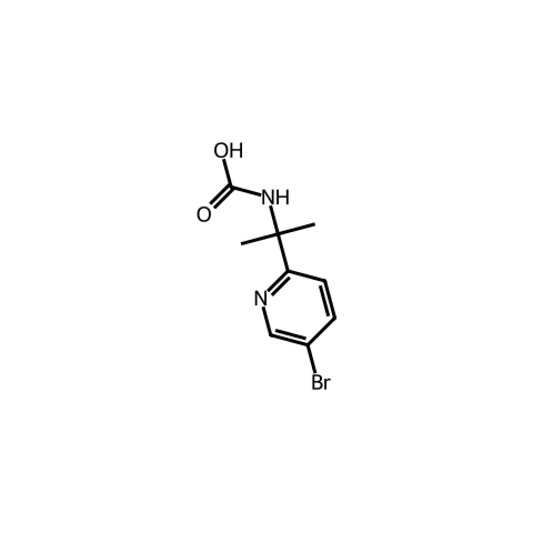 CC(C)(NC(=O)O)c1ccc(Br)cn1